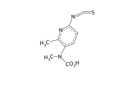 Cc1nc(N=C=S)ccc1N(C)C(=O)O